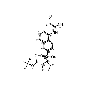 CC(C)(C)OC(=O)[C@H]1CCCN1S(=O)(=O)c1ccc2c(NC(N)=NCl)cncc2c1